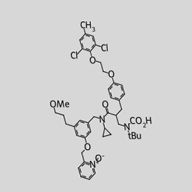 COCCCc1cc(CN(C(=O)C(Cc2ccc(OCCOc3c(Cl)cc(C)cc3Cl)cc2)CN(C(=O)O)C(C)(C)C)C2CC2)cc(OCc2cccc[n+]2[O-])c1